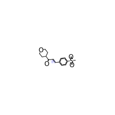 CS(=O)(=O)c1ccc(/C=C/C(=O)C2CCOCC2)cc1